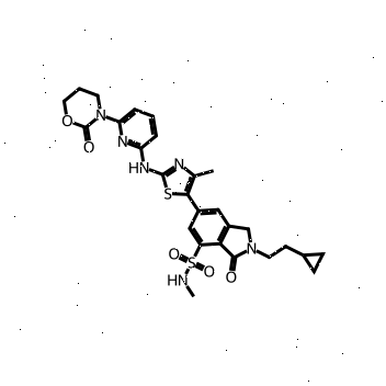 CNS(=O)(=O)c1cc(-c2sc(Nc3cccc(N4CCCOC4=O)n3)nc2C)cc2c1C(=O)N(CCC1CC1)C2